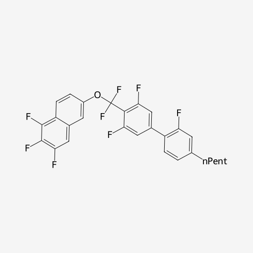 CCCCCc1ccc(-c2cc(F)c(C(F)(F)Oc3ccc4c(F)c(F)c(F)cc4c3)c(F)c2)c(F)c1